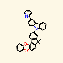 CC1(C)c2cc(-n3c4ccccc4c4cc(-c5ccccn5)ccc43)ccc2-c2c1ccc1c2Oc2ccccc2O1